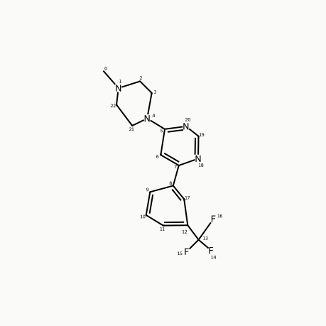 CN1CCN(c2cc(-c3cccc(C(F)(F)F)c3)ncn2)CC1